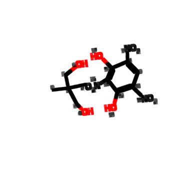 CC(C)(CO)CO.O=[N+]([O-])c1cc([N+](=O)[O-])c(O)c([N+](=O)[O-])c1O